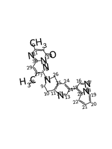 Cc1cc(=O)n2nc(N3CCc4ncc(-c5cnn6ccccc56)cc4C3)c(C)cc2n1